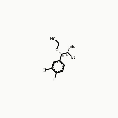 CCCC[C@H](CC)[C@@H](OCC#N)c1ccc(F)c(Cl)c1